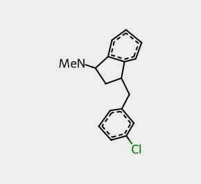 CNC1CC(Cc2cccc(Cl)c2)c2ccccc21